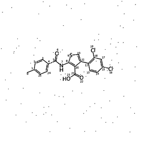 Cc1ccc(C(=O)Nc2scc(-c3ccc(Cl)cc3Cl)c2C(=O)O)cc1